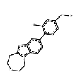 CC(C)Oc1ccc(-c2ccc3c(c2)cc2n3CCNCC2)c(Cl)c1